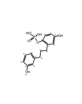 O=P(O)(O)Sc1ccc(O)cc1CCCc1cccc(O)c1